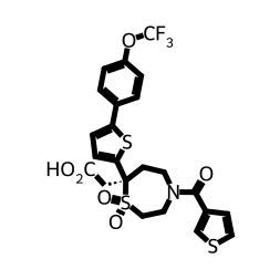 O=C(O)C[C@]1(c2ccc(-c3ccc(OC(F)(F)F)cc3)s2)CCN(C(=O)c2ccsc2)CCS1(=O)=O